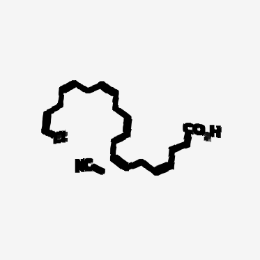 CC#N.CC/C=C\C/C=C\C/C=C\C/C=C\C/C=C\C/C=C\CCC(=O)O